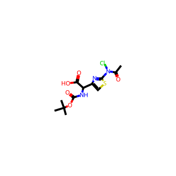 CC(=O)N(Cl)c1nc(C(NC(=O)OC(C)(C)C)C(=O)O)cs1